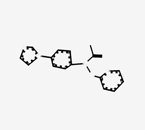 CC(=O)N(Oc1ccccn1)c1ccc(-n2ccnc2)cc1